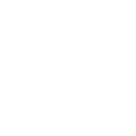 Cc1c(-c2ccc3c(c2)CC(C)(C)C3=O)nnn1-c1cccnc1F